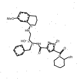 CCCC1CCCCN1C(=O)c1cc(C(=O)N[C@@H](Cc2ccccc2)[C@H](O)CN[C@@H]2CCCc3ccc(OC)cc32)nn1CC